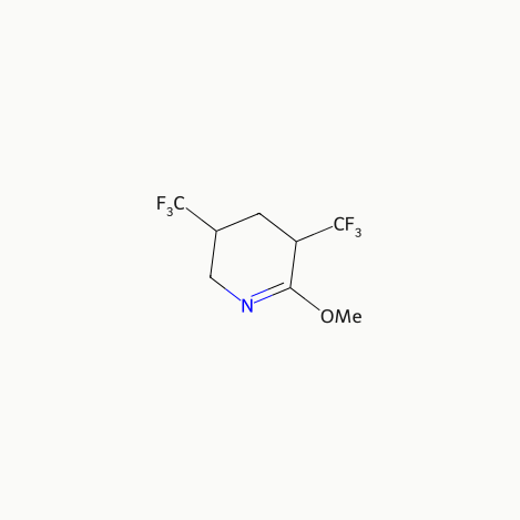 COC1=NCC(C(F)(F)F)CC1C(F)(F)F